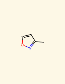 Cc1c[c]on1